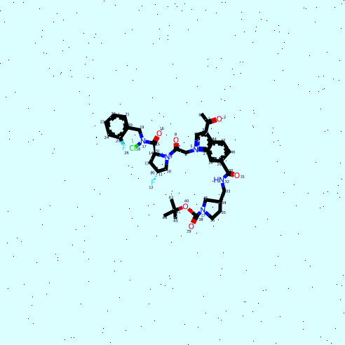 CC(=O)c1cn(CC(=O)N2C[C@H](F)C[C@H]2C(=O)N(Cl)Cc2ccccc2F)c2cc(C(=O)NCC3CCN(C(=O)OC(C)(C)C)C3)ccc12